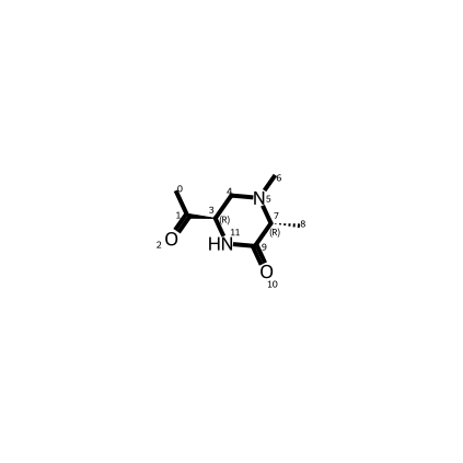 CC(=O)[C@H]1CN(C)[C@H](C)C(=O)N1